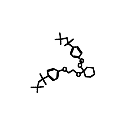 CC(C)(C)CC(C)(C)c1ccc(OCCOC2(OOc3ccc(C(C)(C)CC(C)(C)C)cc3)CCCCC2)cc1